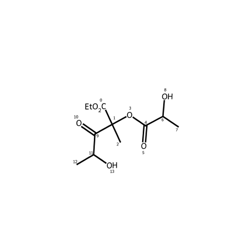 CCOC(=O)C(C)(OC(=O)C(C)O)C(=O)C(C)O